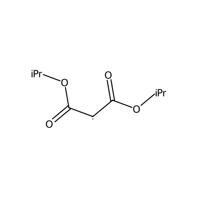 CC(C)OC(=O)[CH]C(=O)OC(C)C